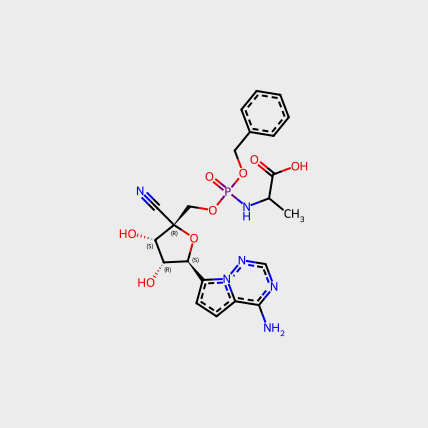 CC(NP(=O)(OCc1ccccc1)OC[C@@]1(C#N)O[C@@H](c2ccc3c(N)ncnn23)[C@H](O)[C@@H]1O)C(=O)O